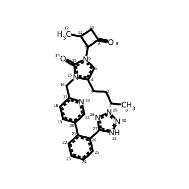 CCCCc1cn(C2C(=O)CC2C)c(=O)n1Cc1ccc(-c2ccccc2-c2nnn[nH]2)cn1